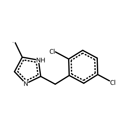 [CH2]c1cnc(Cc2cc(Cl)ccc2Cl)[nH]1